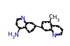 Cc1cc(-c2ccc3c(N)ccnc3c2)cc2ncccc12